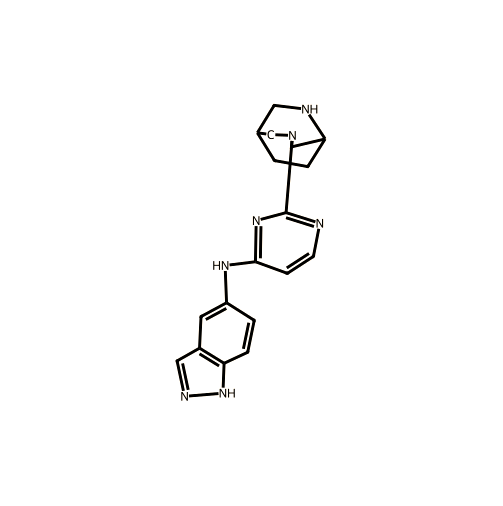 c1cc(Nc2ccc3[nH]ncc3c2)nc(N2CC3CCC(C2)NC3)n1